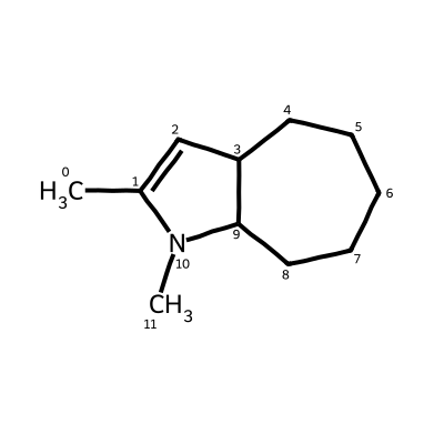 CC1=CC2CCCCCC2N1C